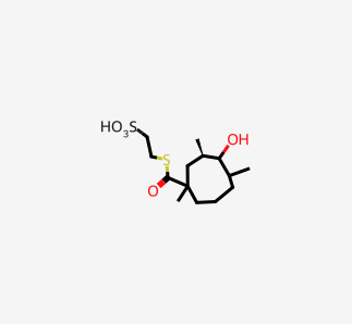 CC1CCCC(C)(C(=O)SCCS(=O)(=O)O)C[C@@H](C)C1O